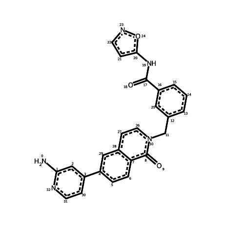 Nc1cc(-c2ccc3c(=O)n(Cc4cccc(C(=O)Nc5ccno5)c4)ccc3c2)ccn1